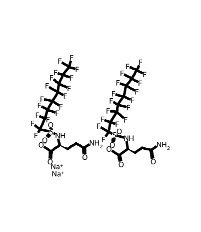 NC(=O)CC[C@H](NS(=O)(=O)C(F)(F)C(F)(F)C(F)(F)C(F)(F)C(F)(F)C(F)(F)C(F)(F)C(F)(F)F)C(=O)[O-].NC(=O)CC[C@H](NS(=O)(=O)C(F)(F)C(F)(F)C(F)(F)C(F)(F)C(F)(F)C(F)(F)C(F)(F)C(F)(F)F)C(=O)[O-].[Na+].[Na+]